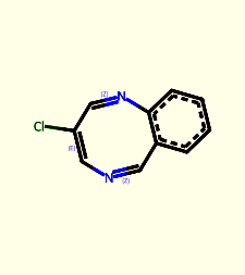 ClC1=C/N=C\c2ccccc2/N=C\1